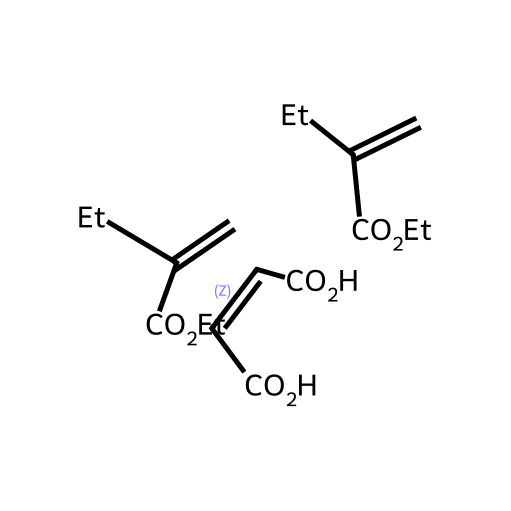 C=C(CC)C(=O)OCC.C=C(CC)C(=O)OCC.O=C(O)/C=C\C(=O)O